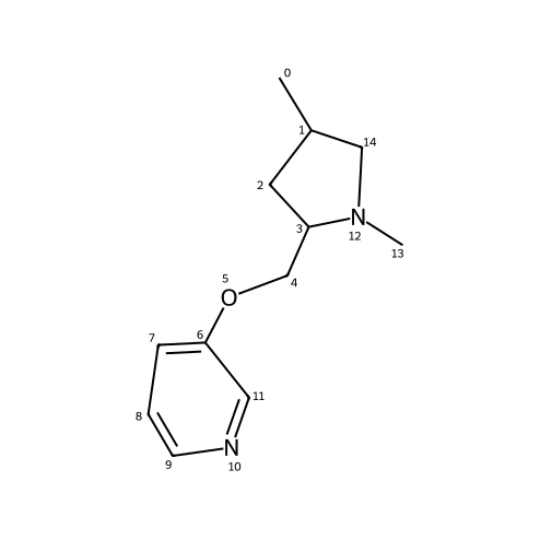 CC1CC(COc2cccnc2)N(C)C1